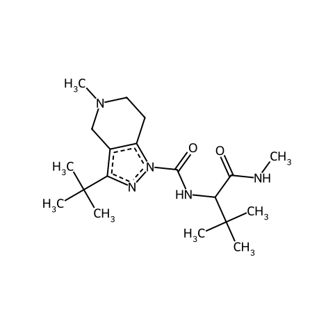 CNC(=O)C(NC(=O)n1nc(C(C)(C)C)c2c1CCN(C)C2)C(C)(C)C